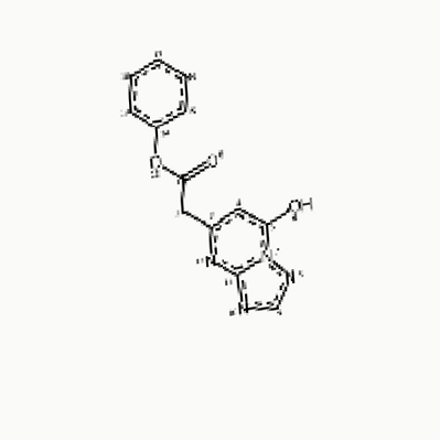 O=C(Cc1cc(O)n2ncnc2n1)Oc1ccccc1